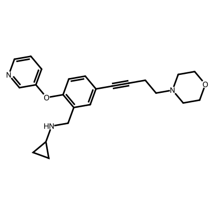 C(#Cc1ccc(Oc2cccnc2)c(CNC2CC2)c1)CCN1CCOCC1